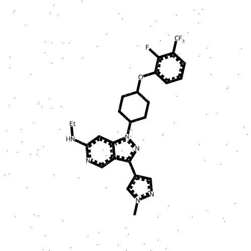 CCNc1cc2c(cn1)c(-c1cnn(C)c1)nn2C1CCC(Oc2cccc(C(F)(F)F)c2F)CC1